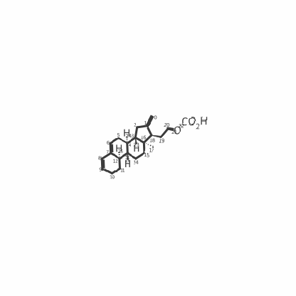 C=C1C[C@H]2[C@@H]3CC=C4C=CCC[C@@H]4[C@H]3CC[C@]2(C)[C@@H]1CCOC(=O)O